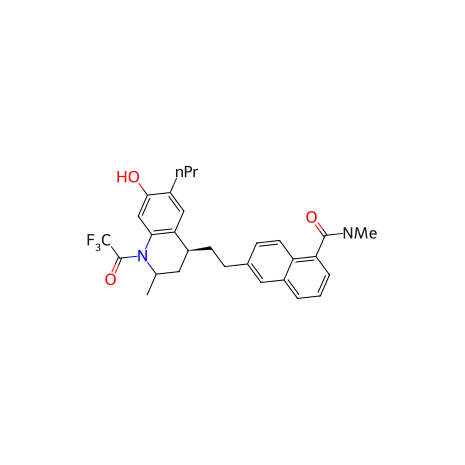 CCCc1cc2c(cc1O)N(C(=O)C(F)(F)F)C(C)C[C@@H]2CCc1ccc2c(C(=O)NC)cccc2c1